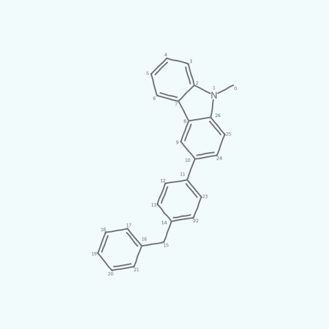 Cn1c2ccccc2c2cc(-c3ccc(Cc4ccccc4)cc3)ccc21